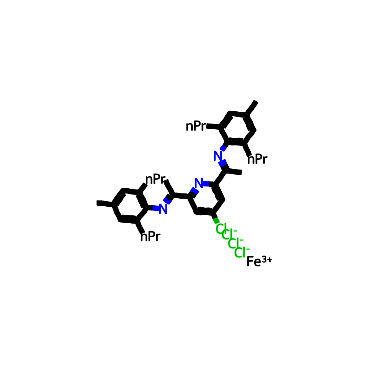 CCCc1cc(C)cc(CCC)c1N=C(C)c1cc(Cl)cc(C(C)=Nc2c(CCC)cc(C)cc2CCC)n1.[Cl-].[Cl-].[Cl-].[Fe+3]